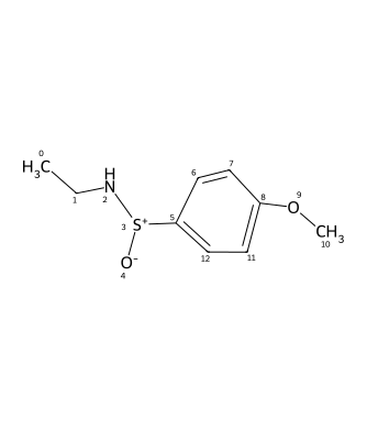 CCN[S+]([O-])c1ccc(OC)cc1